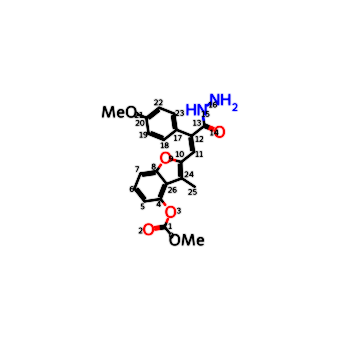 COC(=O)Oc1cccc2oc(C=C(C(=O)NN)c3ccc(OC)cc3)c(C)c12